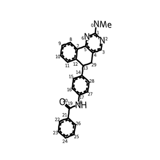 CNc1ncc2c(n1)-c1ccccc1C(c1ccc(NC(=O)c3ccccc3)cc1)C2